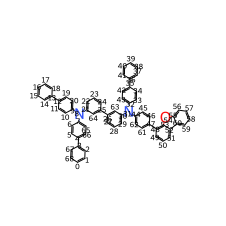 c1ccc(-c2ccc(N(c3ccc(-c4ccccc4)cc3)c3cccc(-c4cccc(N(c5ccc(-c6ccccc6)cc5)c5ccc(-c6cccc7c6oc6ccccc67)cc5)c4)c3)cc2)cc1